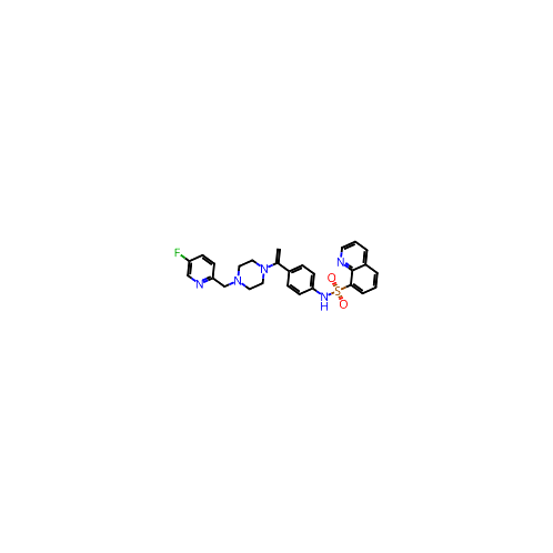 C=C(c1ccc(NS(=O)(=O)c2cccc3cccnc23)cc1)N1CCN(Cc2ccc(F)cn2)CC1